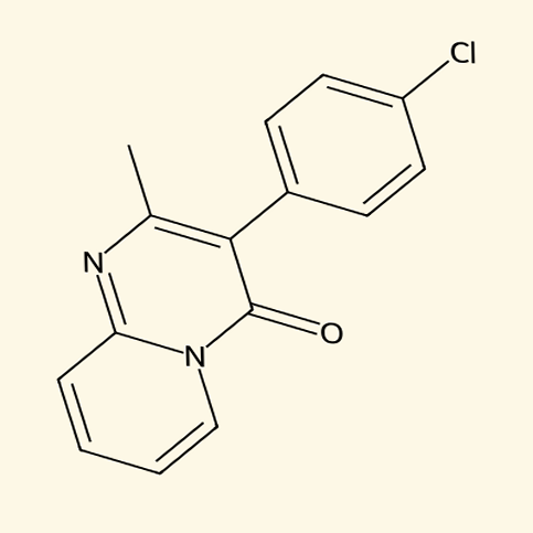 Cc1nc2ccccn2c(=O)c1-c1ccc(Cl)cc1